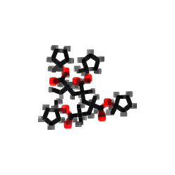 CCC(C)(CC(C)(CC(C)(CC(C)(C)C(=O)OC1(C)CCCC1)C(=O)OC1(C)CCCC1)C(=O)OC1(C)CCCC1)C(=O)OC1(C)CCCC1